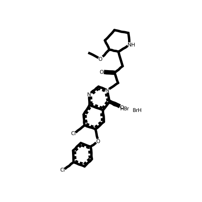 Br.Br.COC1CCCNC1CC(=O)Cn1cnc2cc(Cl)c(Oc3ccc(Cl)cc3)cc2c1=O